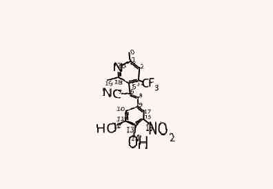 Cc1cc(C(F)(F)F)c(C(C#N)=Cc2cc(O)c(O)c([N+](=O)[O-])c2)c(C)n1